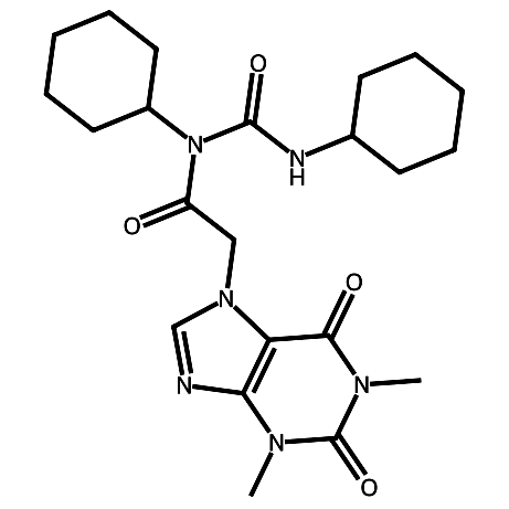 Cn1c(=O)c2c(ncn2CC(=O)N(C(=O)NC2CCCCC2)C2CCCCC2)n(C)c1=O